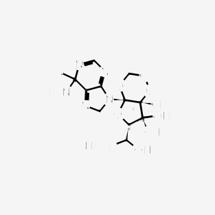 C[C@]12OOCO[C@@]1(N1CN=C3C1=NC=NC3(N)Cl)O[C@H](C(O)C(=O)O)[C@@]2(C)O